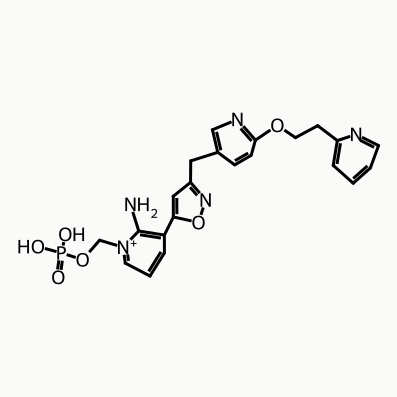 Nc1c(-c2cc(Cc3ccc(OCCc4ccccn4)nc3)no2)ccc[n+]1COP(=O)(O)O